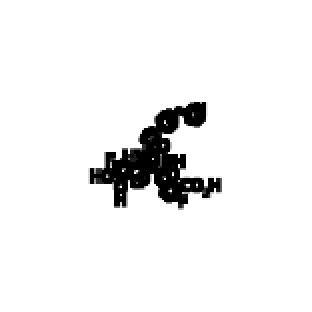 O=C(O)c1c(F)ccc2c1OB(O)[C@@H](NC(=O)C(NC(=O)N1CCN(C3CCN(Cc4cccnc4)CC3)C1=O)c1cc(F)c(O)c(O)c1Cl)C2